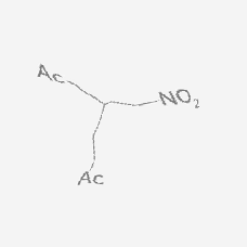 CC(=O)C(C(C)=O)[N+](=O)[O-]